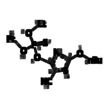 CCCCOc1nc(OP(=S)(OCC)OCC)c(C#N)s1